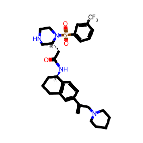 C=C(CN1CCCCC1)c1ccc2c(c1)CCC[C@H]2NC(=O)C[C@@H]1CNCCN1S(=O)(=O)c1cccc(C(F)(F)F)c1